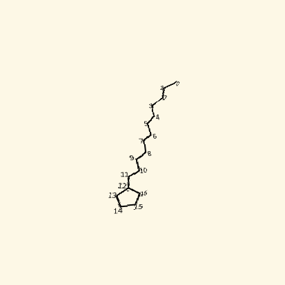 CCCCCCCCCCCC[C]1CCCC1